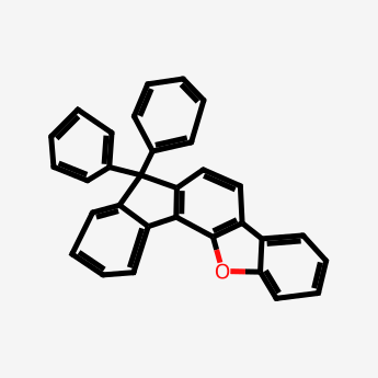 c1ccc(C2(c3ccccc3)c3ccccc3-c3c2ccc2c3oc3ccccc32)cc1